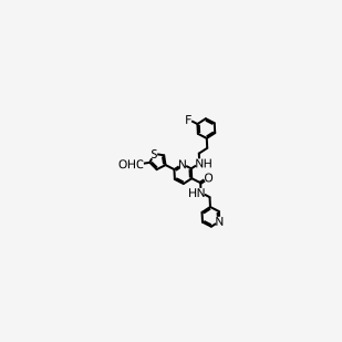 O=Cc1cc(-c2ccc(C(=O)NCc3cccnc3)c(NCCc3cccc(F)c3)n2)cs1